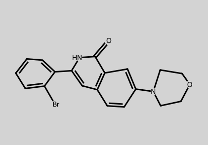 O=c1[nH]c(-c2ccccc2Br)cc2ccc(N3CCOCC3)cc12